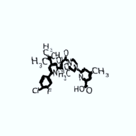 Cc1cc(C(=O)O)nc(N2CCN(C(=O)c3cc4nc(-c5ccc(Cl)c(F)c5)cc(C(C)(C)C)c4o3)C(C)(C)C2)c1